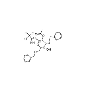 CC(=O)OC1C(OCc2ccccc2)[C@H](O)C(COCc2ccccc2)O[C@H]1OC(=N)C(Cl)(Cl)Cl